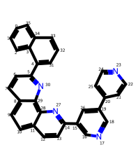 c1ccc2c(-c3ccc4ccc5ccc(-c6cncc(-c7ccncc7)c6)nc5c4n3)cccc2c1